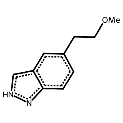 COCCc1ccc2n[nH]cc2c1